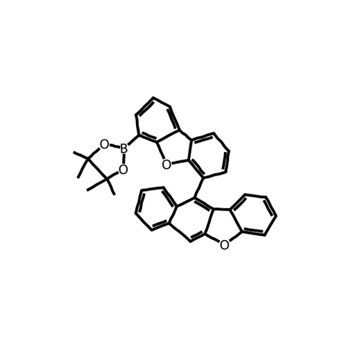 CC1(C)OB(c2cccc3c2oc2c(-c4c5ccccc5cc5oc6ccccc6c45)cccc23)OC1(C)C